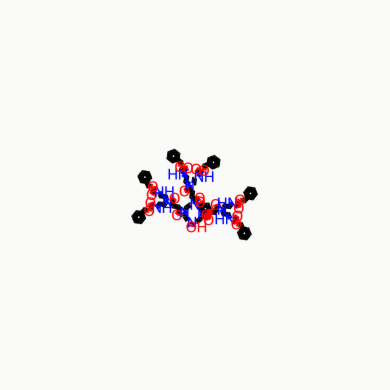 O=C(NCCN(CCNC(=O)OCc1ccccc1)C(=O)CCC(=O)N1CCN(O)CCN(C(=O)CCC(=O)N(CCNC(=O)OCc2ccccc2)CCNC(=O)OCc2ccccc2)C2(CN(C(=O)CCC(=O)N(CCNC(=O)OCc3ccccc3)CCNC(=O)OCc3ccccc3)CC1)C(=O)CCC2=O)OCc1ccccc1